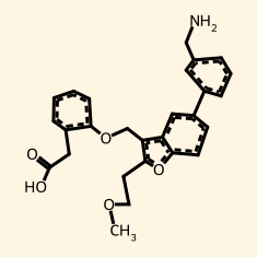 COCCc1oc2ccc(-c3cccc(CN)c3)cc2c1COc1ccccc1CC(=O)O